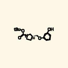 CC(C)(C)OC(=O)N1CC[C@@H](COc2cccc(O)c2)C1